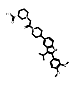 COc1ccc(-c2[nH]c3ccc(C4CCN(C(=O)CN5CCC[C@@H](C(=O)O)C5)CC4)cc3c2C(C)C)cc1OC